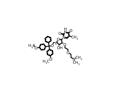 COc1ccc(C(OC[C@H]2O[C@@H](n3cc(C)c(=O)[nH]c3=O)[C@H](OCCOCCN(C)C)[C@@H]2O)(c2ccccc2)c2ccc(OC)cc2)cc1